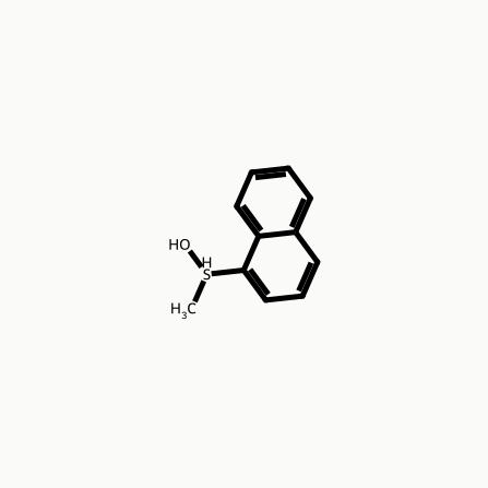 C[SH](O)c1cccc2ccccc12